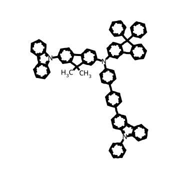 CC1(C)c2cc(N(c3ccc(-c4ccc(-c5ccc6c(c5)c5ccccc5n6-c5ccccc5)cc4)cc3)c3ccc4c(c3)-c3ccccc3C4(c3ccccc3)c3ccccc3)ccc2-c2ccc(-n3c4ccccc4c4ccccc43)cc21